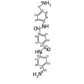 NCc1ccc(NC(=O)c2ccc(C(=O)Nc3ccc(CN)cc3)cc2)cc1